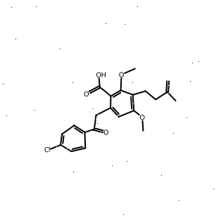 C=C(C)CCc1c(OC)cc(CC(=O)c2ccc(Cl)cc2)c(C(=O)O)c1OC